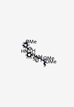 C=C/C(OC)=C(\C=C\C(=O)NC(=S)Nc1cccc(NC(=O)/C(C=C)=C/C(=C)OC)c1)OC